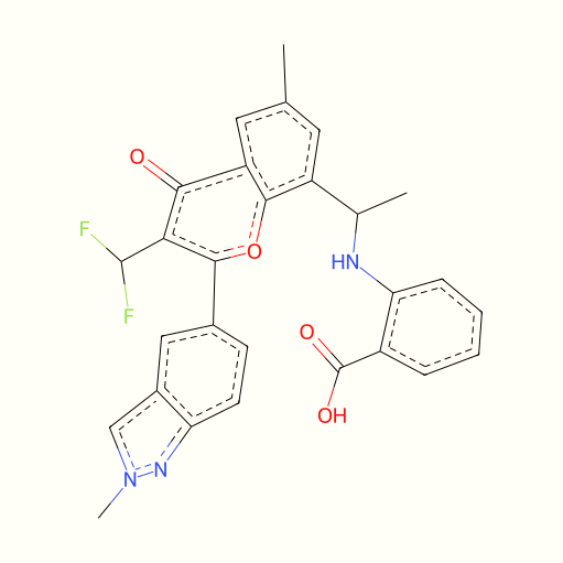 Cc1cc(C(C)Nc2ccccc2C(=O)O)c2oc(-c3ccc4nn(C)cc4c3)c(C(F)F)c(=O)c2c1